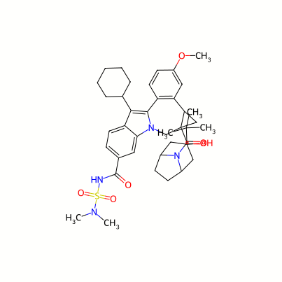 COc1ccc2c(c1)C1CC1(C(=O)N1C3CCC1CC(O)(C(C)(C)C)C3)Cn1c-2c(C2CCCCC2)c2ccc(C(=O)NS(=O)(=O)N(C)C)cc21